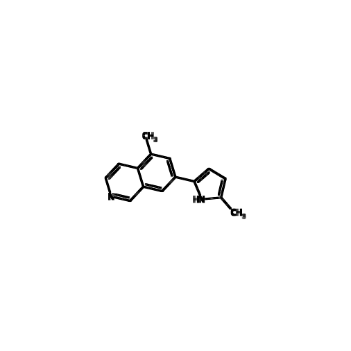 Cc1ccc(-c2cc(C)c3ccncc3c2)[nH]1